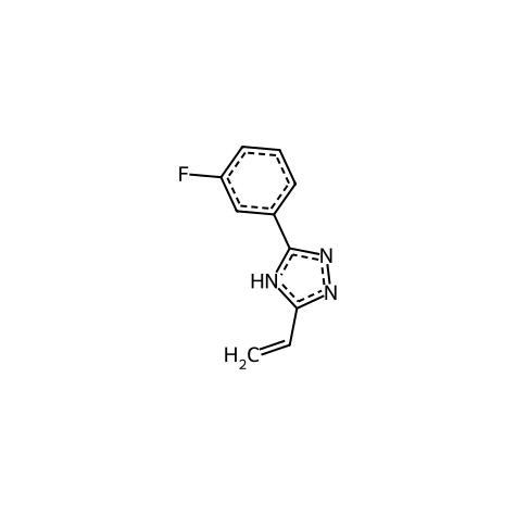 C=Cc1nnc(-c2cccc(F)c2)[nH]1